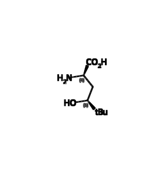 CC(C)(C)[C@@H](O)C[C@@H](N)C(=O)O